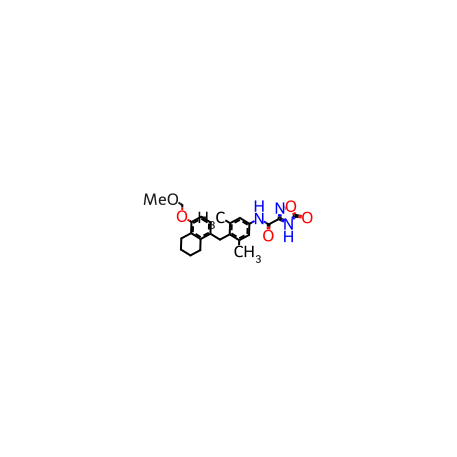 COCOc1ccc(Cc2c(C)cc(NC(=O)c3noc(=O)[nH]3)cc2C)c2c1CCCC2